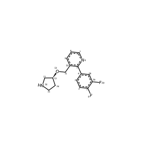 Fc1ccc(-c2ncccc2CO[C@H]2CCNC2)cc1F